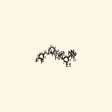 CCc1cc(NC(=O)NC[C@@H]2CCCN(CCc3ccc(F)c(F)c3)C2)cc(-c2nnnn2C)c1